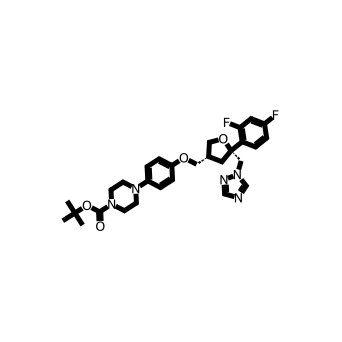 CC(C)(C)OC(=O)N1CCN(c2ccc(OC[C@@H]3CO[C@@](Cn4cncn4)(c4ccc(F)cc4F)C3)cc2)CC1